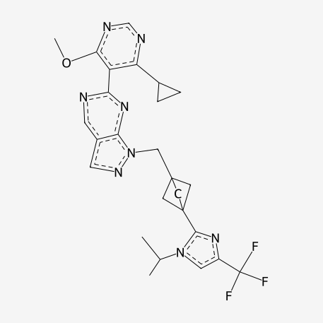 COc1ncnc(C2CC2)c1-c1ncc2cnn(CC34CC(c5nc(C(F)(F)F)cn5C(C)C)(C3)C4)c2n1